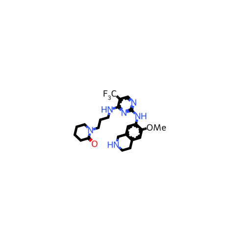 COc1cc2c(cc1Nc1ncc(C(F)(F)F)c(NCCCN3CCCCC3=O)n1)CNCC2